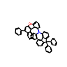 c1ccc(-c2cc3oc4cccc(N(c5ccccc5)c5cccc6c5-c5ccccc5C6(c5ccccc5)c5ccccc5)c4c3c3ccccc23)cc1